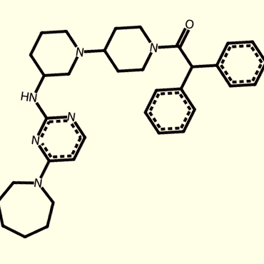 O=C(C(c1ccccc1)c1ccccc1)N1CCC(N2CCCC(Nc3nccc(N4CCCCCC4)n3)C2)CC1